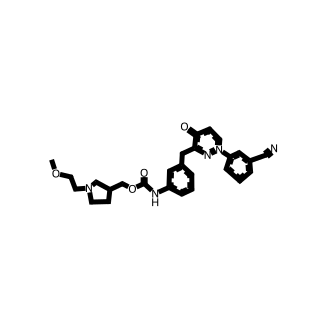 COCCN1CCC(COC(=O)Nc2cccc(Cc3nn(-c4cccc(C#N)c4)ccc3=O)c2)C1